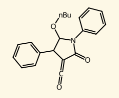 CCCCOC1C(c2ccccc2)C(=C=O)C(=O)N1c1ccccc1